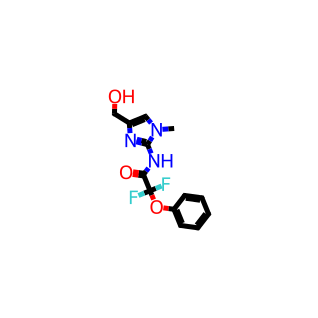 Cn1cc(CO)nc1NC(=O)C(F)(F)Oc1ccccc1